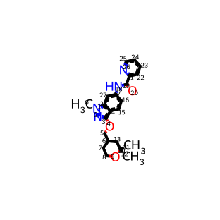 Cn1nc(OCC2CCOC(C)(C)C2)c2ccc(NC(=O)c3ccccn3)cc21